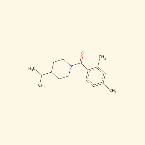 Cc1ccc(C(=O)N2CCC(C(C)C)CC2)c(C)c1